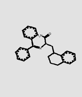 NC(=O)C(CC1CCCc2ccccc21)N=C(c1ccccc1)c1ccccc1